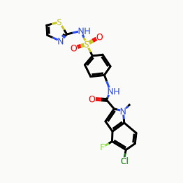 Cn1c(C(=O)Nc2ccc(S(=O)(=O)Nc3nccs3)cc2)cc2c(F)c(Cl)ccc21